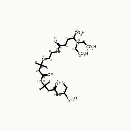 CC(C)(CC(=O)NC(CS)C(=O)O)NC(=O)CC(C)(C)OCCNC(=O)CCC(C(=O)O)N(CC(=O)O)CC(=O)O